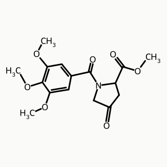 COC(=O)C1CC(=O)CN1C(=O)c1cc(OC)c(OC)c(OC)c1